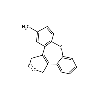 Cc1ccc2c(c1)C(CC#N)=C(CC#N)c1ccccc1S2